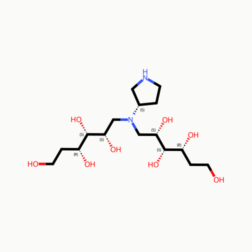 OCC[C@@H](O)[C@H](O)[C@@H](O)CN(C[C@H](O)[C@@H](O)[C@H](O)CCO)[C@H]1CCNC1